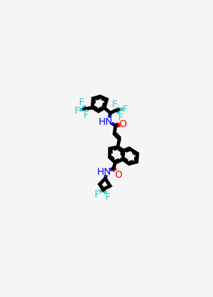 O=C(/C=C/c1ccc(C(=O)NC2CC(F)(F)C2)c2ccccc12)NC(c1cccc(C(F)(F)F)c1)C(F)(F)F